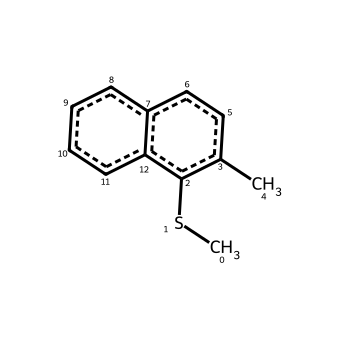 CSc1c(C)ccc2ccccc12